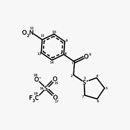 O=C(C[S+]1CCCC1)c1ccc([N+](=O)[O-])cc1.O=S(=O)([O-])C(F)(F)F